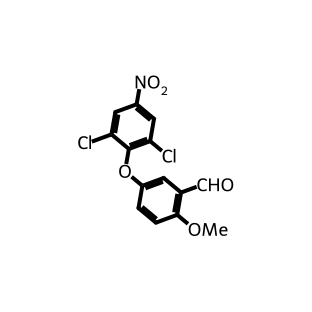 COc1ccc(Oc2c(Cl)cc([N+](=O)[O-])cc2Cl)cc1C=O